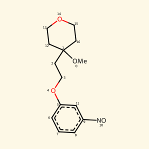 COC1(CCOc2cccc(N=O)c2)CCOCC1